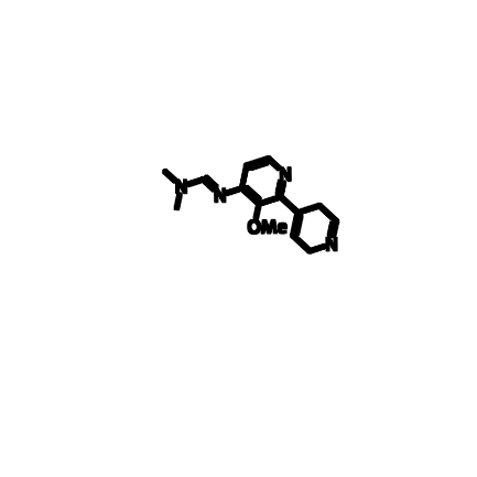 COc1c(N=CN(C)C)ccnc1C1=CCN=CC1